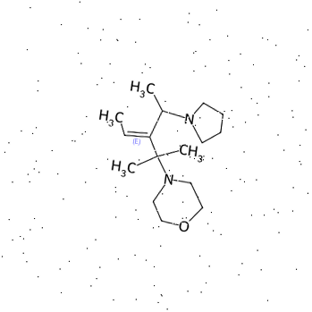 C/C=C(\C(C)N1CCCC1)C(C)(C)N1CCOCC1